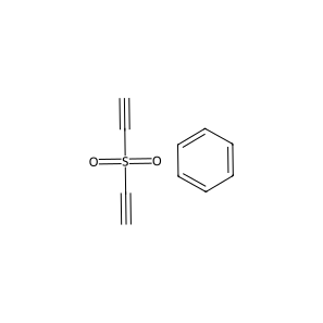 C#CS(=O)(=O)C#C.c1ccccc1